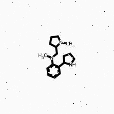 CN(CC1CCCN1C)c1ccccc1C1CCCN1